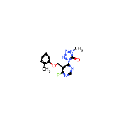 Cc1ccccc1OCc1c(F)ncnc1-n1nnn(C)c1=O